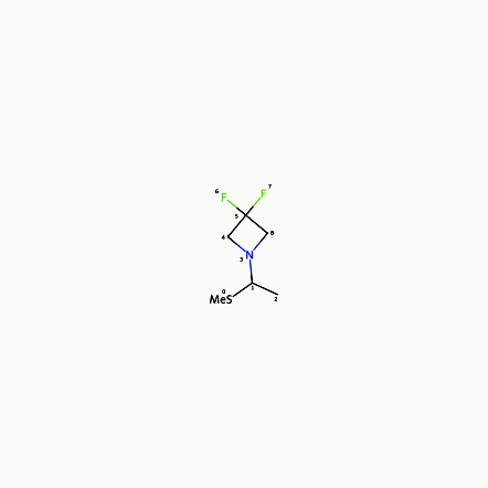 CSC(C)N1CC(F)(F)C1